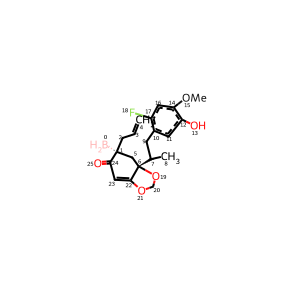 B[C@]1(CC=C)C[C@]2(C(C)Cc3cc(O)c(OC)cc3F)OCOC2=CC1=O